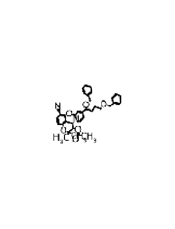 CC(=O)O[C@@H]1[C@@H](n2ccc(C(CCCOCc3ccccc3)OCc3ccccc3)cc2=O)c2cc(C#N)ccc2OC1(C)C